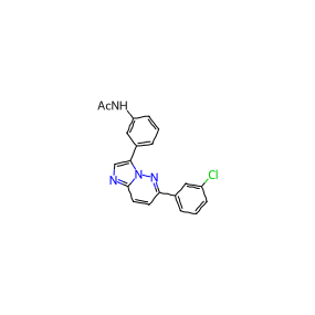 CC(=O)Nc1cccc(-c2cnc3ccc(-c4cccc(Cl)c4)nn23)c1